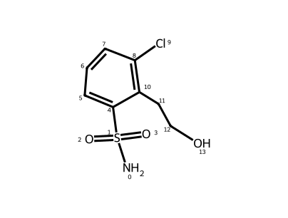 NS(=O)(=O)c1cccc(Cl)c1CCO